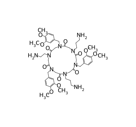 COc1ccc(CN2CC(=O)N(CCN)CC(=O)N(Cc3ccc(OC)c(OC)c3)CC(=O)N(CCCN)CC(=O)N(Cc3ccc(OC)c(OC)c3)CC(=O)N(CCCN)CC2=O)cc1OC